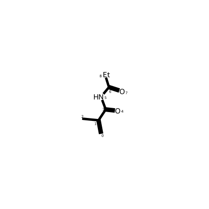 C=C(C)C(=O)NC(=O)CC